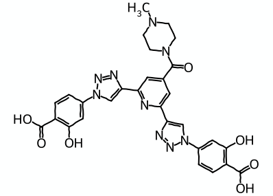 CN1CCN(C(=O)c2cc(-c3cn(-c4ccc(C(=O)O)c(O)c4)nn3)nc(-c3cn(-c4ccc(C(=O)O)c(O)c4)nn3)c2)CC1